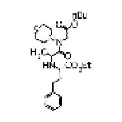 CCCCOC(=O)CN(C(=O)[C@H](C)N[C@@H](CCc1ccccc1)C(=O)OCC)N1CCSCC1